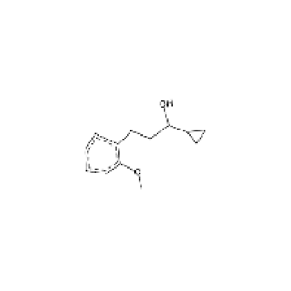 COc1ccccc1CCC(O)C1CC1